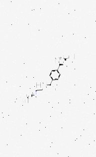 CCCCO/N=C/CNC(=O)c1ccc(-c2noc(C(F)(F)F)n2)cc1